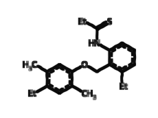 CCC(=S)Nc1cccc(CC)c1COc1cc(C)c(CC)cc1C